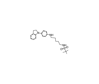 CC(C)(C)S(=O)(=O)NCCCCCNc1ccc(N2CCc3ccccc32)cc1